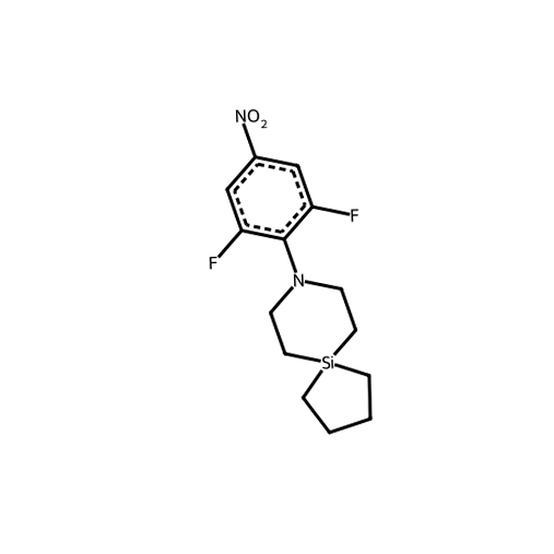 O=[N+]([O-])c1cc(F)c(N2CC[Si]3(CCCC3)CC2)c(F)c1